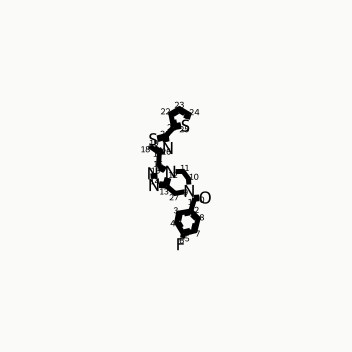 O=C(c1ccc(F)cc1)N1CCn2c(nnc2-c2csc(-c3cccs3)n2)C1